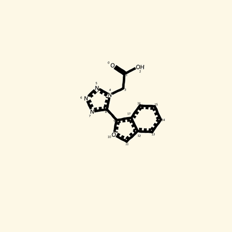 O=C(O)Cn1nnnc1-c1occ2ccccc12